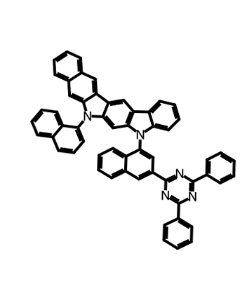 c1ccc(-c2nc(-c3ccccc3)nc(-c3cc(-n4c5ccccc5c5cc6c7cc8ccccc8cc7n(-c7cccc8ccccc78)c6cc54)c4ccccc4c3)n2)cc1